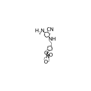 N#Cc1cc(NCCc2ccc(S(=O)(=O)N3CCOCC3)cc2)ccc1N